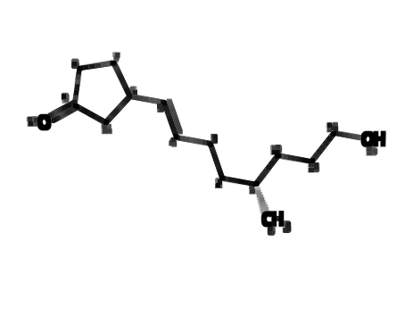 C[C@H](CC/C=C/C1CCC(=O)C1)CCCO